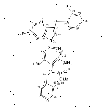 C=C(/N=C(/N)C(=C(N)N)N(Cc1ccccc1Br)C(=O)OC)n1nc(Cc2ccccc2F)c2ncc(F)cc21